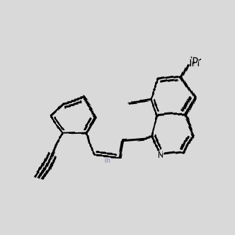 C#Cc1ccccc1/C=C\Cc1nccc2cc(C(C)C)cc(C)c12